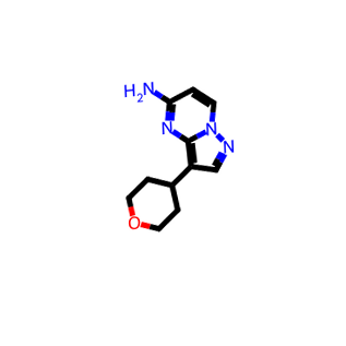 Nc1ccn2ncc(C3CCOCC3)c2n1